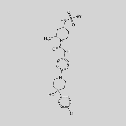 CC1CC(NS(=O)(=O)C(C)C)CCN1C(=O)Nc1ccc(N2CCC(O)(c3ccc(Cl)cc3)CC2)cc1